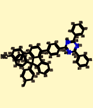 CC1C=CC([C@]2(c3ccccc3)c3ccccc3-c3c(-c4ccc(-c5nc(-c6ccccc6)nc(-c6ccccc6)n5)cc4)ccc(-c4ccc(C#N)cc4)c32)=CC1